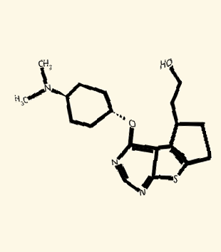 CN(C)[C@H]1CC[C@H](Oc2ncnc3sc4c(c23)C(CCO)CC4)CC1